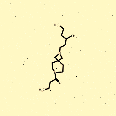 CCCC(=O)N1CCC2(CC1)CN(CCC(C)CCC)C2